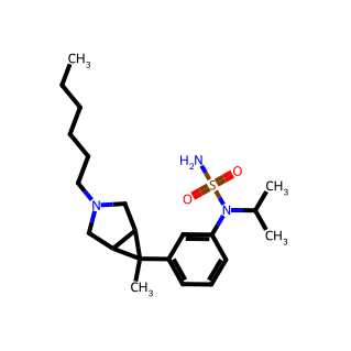 CCCCCCN1CC2C(C1)C2(C)c1cccc(N(C(C)C)S(N)(=O)=O)c1